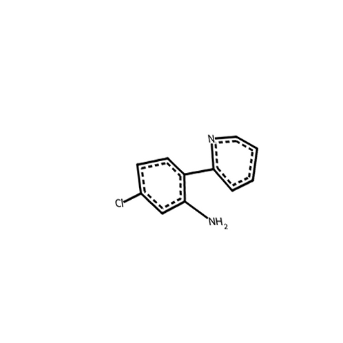 Nc1cc(Cl)ccc1-c1ccccn1